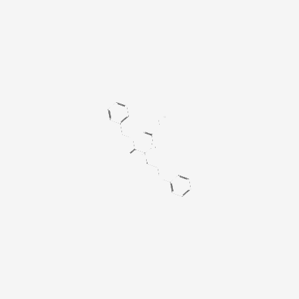 CC(C)(C)OC(=O)N[C@@H](CCOc1ccccc1)C(=O)OCc1ccccc1